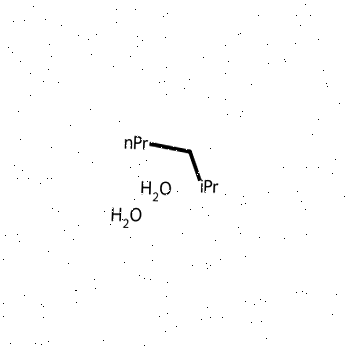 CCCCC(C)C.O.O